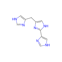 [c]1nc(Cc2c[nH]c(-c3c[nH]cn3)n2)c[nH]1